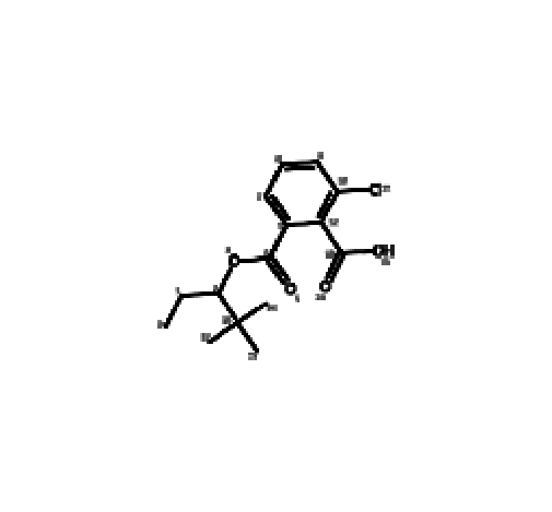 CCC(OC(=O)c1cccc(Cl)c1C(=O)O)C(C)(C)C